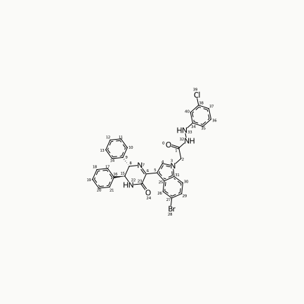 O=C(Cn1cc(C2=N[C@@H](c3ccccc3)[C@H](c3ccccc3)NC2=O)c2cc(Br)ccc21)NNc1cccc(Cl)c1